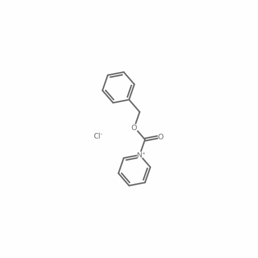 O=C(OCc1ccccc1)[n+]1ccccc1.[Cl-]